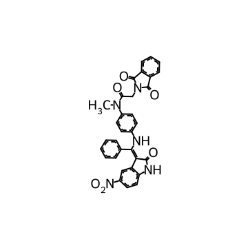 CN(C(=O)CN1C(=O)c2ccccc2C1=O)c1ccc(N/C(=C2\C(=O)Nc3ccc([N+](=O)[O-])cc32)c2ccccc2)cc1